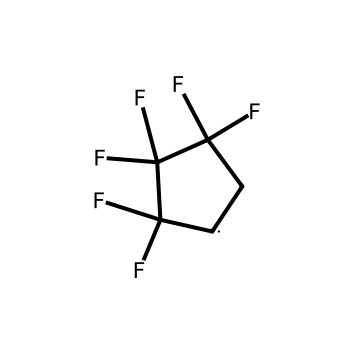 FC1(F)[CH]CC(F)(F)C1(F)F